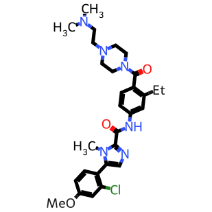 CCc1cc(NC(=O)c2ncc(-c3ccc(OC)cc3Cl)n2C)ccc1C(=O)N1CCN(CCN(C)C)CC1